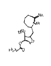 CC(C)(C)C1C(OC(N)=O)=NOC1CC1CCCCC(=N)N1